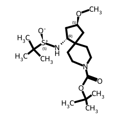 CO[C@@H]1C[C@@H](N[S@+]([O-])C(C)(C)C)C2(CCN(C(=O)OC(C)(C)C)CC2)C1